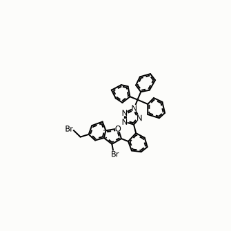 BrCc1ccc2oc(-c3ccccc3-c3nnn(C(c4ccccc4)(c4ccccc4)c4ccccc4)n3)c(Br)c2c1